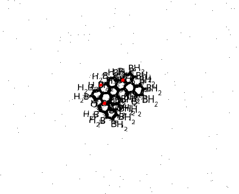 Bc1c(B)c(-c2c3c(B)c(B)c(B)c(B)c3c(-c3c(B)c4c(B)c(B)c(B)c(B)c4c4c(B)c(B)c(B)c(B)c34)c3c(B)c(B)c(B)c(B)c23)c2c(oc3c(B)c4c(B)c(B)c(B)c(B)c4c(B)c32)c1B